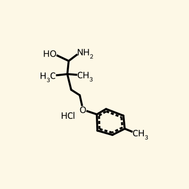 Cc1ccc(OCCC(C)(C)C(N)O)cc1.Cl